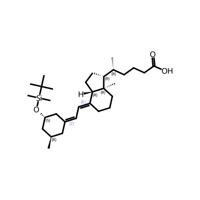 C[C@@H]1C/C(=C/C=C2\CCC[C@]3(C)[C@@H]([C@H](C)CCCC(=O)O)CC[C@@H]23)C[C@@H](O[Si](C)(C)C(C)(C)C)C1